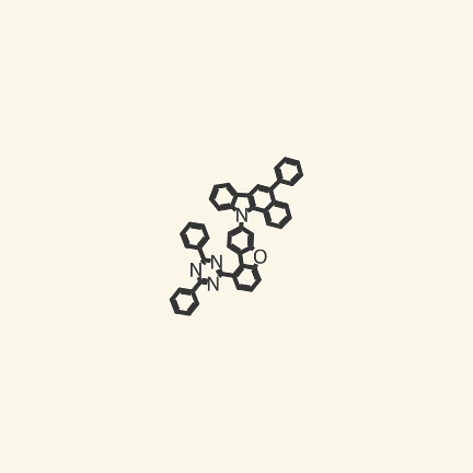 c1ccc(-c2nc(-c3ccccc3)nc(-c3cccc4oc5cc(-n6c7ccccc7c7cc(-c8ccccc8)c8ccccc8c76)ccc5c34)n2)cc1